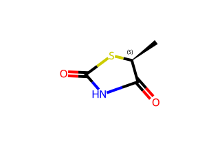 C[C@@H]1SC(=O)NC1=O